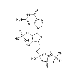 Nc1nc2c(ncn2[C@@H]2O[C@H](COP(=O)(O)OP(=O)(O)OP(=O)(O)O)C(O)C2OP(=O)(O)O)c(=O)[nH]1